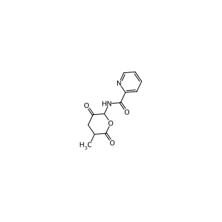 CC1CC(=O)C(NC(=O)c2ccccn2)OC1=O